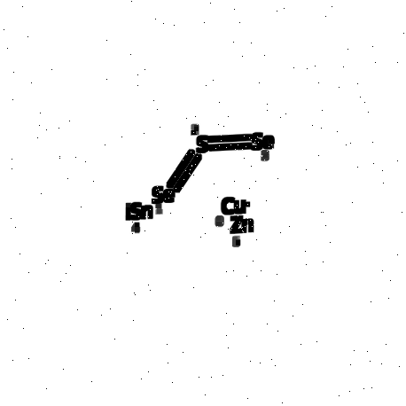 [Cu].[Se]=S=[Se].[Sn].[Zn]